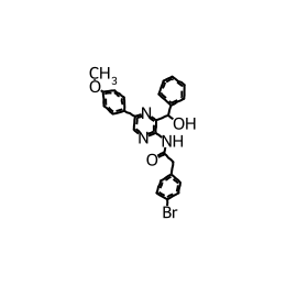 COc1ccc(-c2cnc(NC(=O)Cc3ccc(Br)cc3)c(C(O)c3ccccc3)n2)cc1